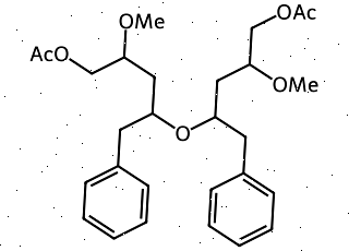 COC(COC(C)=O)CC(Cc1ccccc1)OC(Cc1ccccc1)CC(COC(C)=O)OC